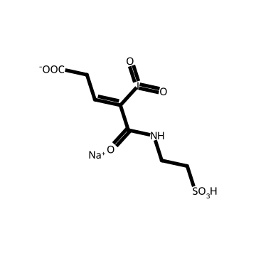 O=C([O-])CC=C(C(=O)NCCS(=O)(=O)O)I(=O)=O.[Na+]